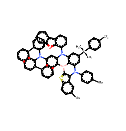 CC(C)(C)c1ccc(N2c3cc([Si](C)(C)c4ccc(C(F)(F)F)cc4)cc4c3B(c3ccc(N(c5ccccc5-c5ccccc5)c5ccccc5-c5ccccc5)cc3N4c3cccc4c3oc3ccccc34)c3sc4ccc(C(C)(C)C)cc4c32)cc1